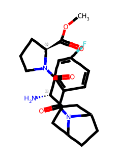 COC(=O)[C@@H]1CCCN1C(=O)[C@@H](N)C1CC2CCC(C1)N2C(=O)c1ccc(F)cc1